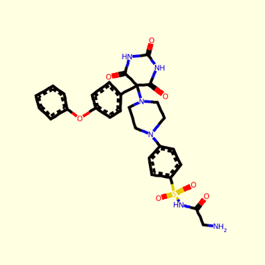 NCC(=O)NS(=O)(=O)c1ccc(N2CCN(C3(c4ccc(Oc5ccccc5)cc4)C(=O)NC(=O)NC3=O)CC2)cc1